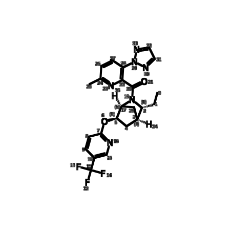 CC[C@@H]1[C@H]2C[C@@H](Oc3ccc(C(F)(F)F)cn3)[C@H](C2)N1C(=O)c1nc(C)ccc1-n1nccn1